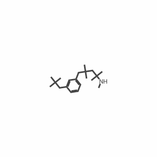 CNC(C)(C)CC(C)(C)Cc1cccc(CC(C)(C)C)c1